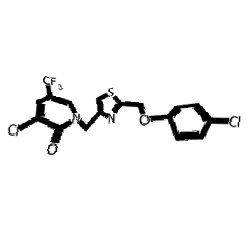 O=c1c(Cl)cc(C(F)(F)F)cn1Cc1csc(COc2ccc(Cl)cc2)n1